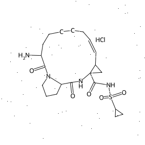 Cl.NC1CCCCC/C=C\C2CC2(C(=O)NS(=O)(=O)C2CC2)NC(=O)C2CCCN2C1=O